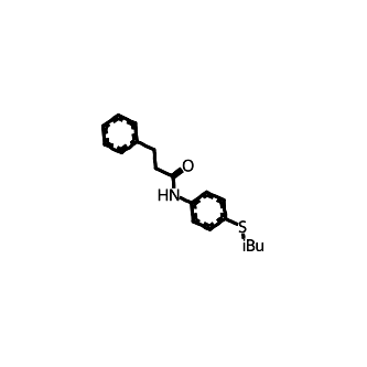 CCC(C)Sc1ccc(NC(=O)CCc2ccccc2)cc1